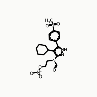 CS(=O)(=O)c1ccc(-c2[nH]nc(N(C=O)CCO[N+](=O)[O-])c2C2CCCCC2)cc1